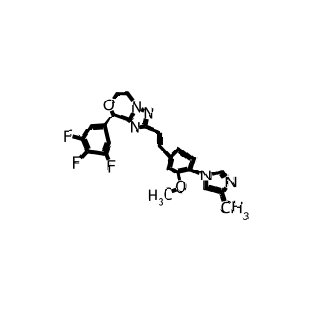 COc1cc(C=Cc2nc3n(n2)CCO[C@@H]3c2cc(F)c(F)c(F)c2)ccc1-n1cnc(C)c1